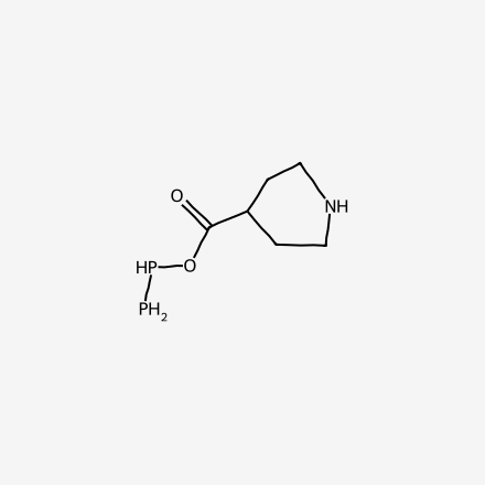 O=C(OPP)C1CCNCC1